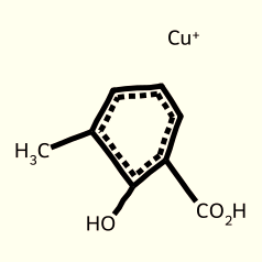 Cc1cccc(C(=O)O)c1O.[Cu+]